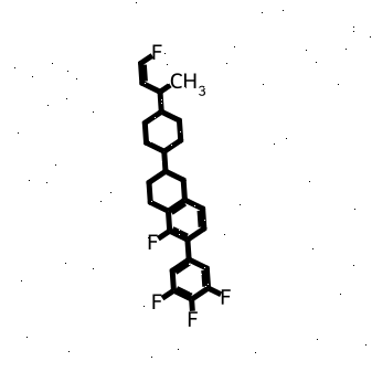 CC(/C=C\F)C1CCC(C2CCc3c(ccc(-c4cc(F)c(F)c(F)c4)c3F)C2)CC1